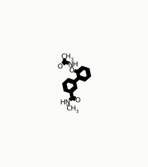 CNC(=O)c1cccc(-c2ccccc2ONC(C)=O)c1